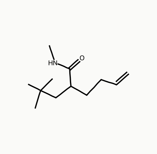 C=CCCC(CC(C)(C)C)C(=O)NC